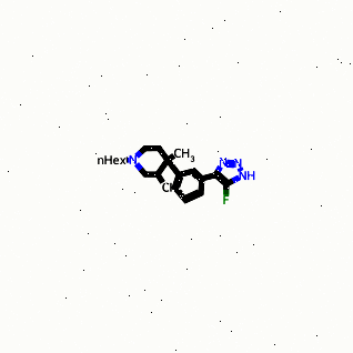 CCCCCCN1CCC(C)(c2cccc(-c3nn[nH]c3F)c2)C(C)C1